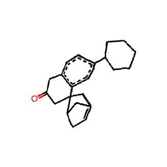 O=C1Cc2ccc(C3CCCCC3)cc2C2(C1)CC1=CCC2C1